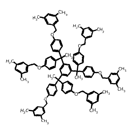 Cc1cc(C)cc(COc2ccc(C(C)(c3ccc(OCc4cc(C)cc(C)c4)cc3)c3cc(C(C)(c4ccc(OCc5cc(C)cc(C)c5)cc4)c4ccc(OCc5cc(C)cc(C)c5)cc4)cc(C(C)(c4ccc(OCc5cc(C)cc(C)c5)cc4)c4ccc(OCc5cc(C)cc(C)c5)cc4)c3)cc2)c1